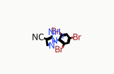 N#Cc1cnn(-c2c(Br)cc(Br)cc2Br)c1N